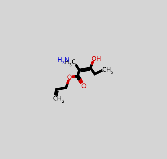 C=CCOC(=O)/C(C)=C(/O)CC.N